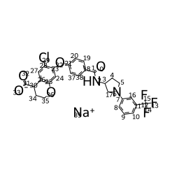 O=C(NC1CCN(c2cccc(C(F)(F)F)c2)C1)c1ccc(Oc2cc3c(cc2Cl)C(C(=O)[O-])CCO3)cc1.[Na+]